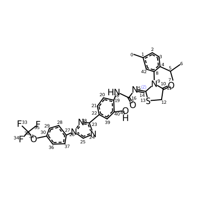 Cc1ccc(C(C)C)c(N2C(=O)CS/C2=N\C(=O)Nc2ccc(-c3ncn(-c4ccc(OC(F)(F)F)cc4)n3)cc2O)c1